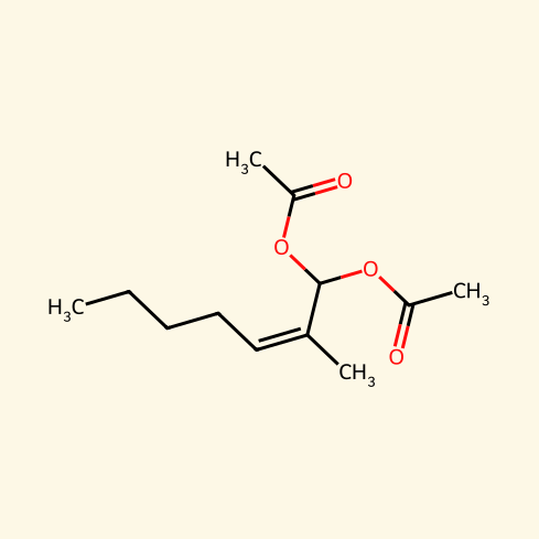 CCCCC=C(C)C(OC(C)=O)OC(C)=O